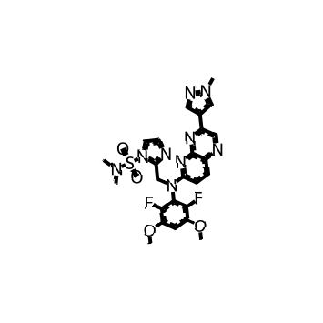 COc1cc(OC)c(F)c(N(Cc2nccn2S(=O)(=O)N(C)C)c2ccc3ncc(-c4cnn(C)c4)nc3n2)c1F